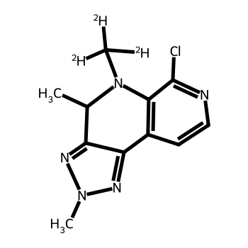 [2H]C([2H])([2H])N1c2c(ccnc2Cl)-c2nn(C)nc2C1C